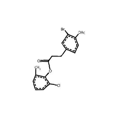 CC(=O)Oc1ccc(CCC(=O)Oc2c(C)cccc2Cl)cc1Br